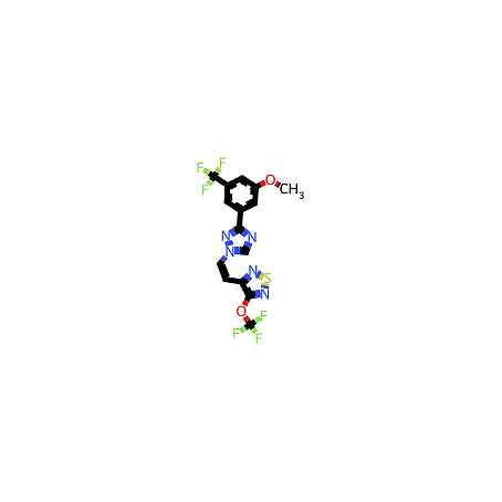 COc1cc(-c2ncn(/C=C\c3nsnc3OC(F)(F)F)n2)cc(C(F)(F)F)c1